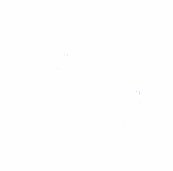 C=C(/C=C(\NC(CCC)c1ccc(-c2ccc(C(=C/N)/C(C3=CCCC=C3)=C(\C)C3=CCCC=C3)c3ccccc23)cc1)C1=CC=CCC1)c1ccccc1